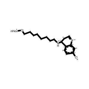 CCCCCCOCCCCCCCCNC1CC=Nc2cc(Cl)ccc21